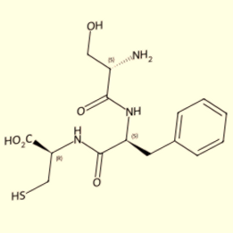 N[C@@H](CO)C(=O)N[C@@H](Cc1ccccc1)C(=O)N[C@@H](CS)C(=O)O